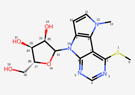 CSc1ncnc2c1c1c(ccn1C)n2C1O[C@H](CO)[C@@H](O)[C@H]1O